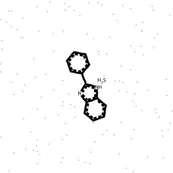 S.c1ccc(-c2nc3ccccc3[nH]2)cc1